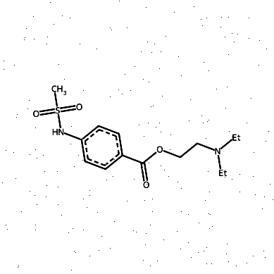 CCN(CC)CCOC(=O)c1ccc(NS(C)(=O)=O)cc1